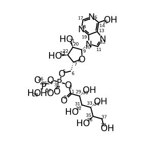 O=C(OP(=O)(OC[C@H]1O[C@@H](n2cnc3c(O)ncnc32)[C@H](O)[C@@H]1O)OP(=O)(O)O)[C@H](O)[C@@H](O)[C@H](O)[C@H](O)CO